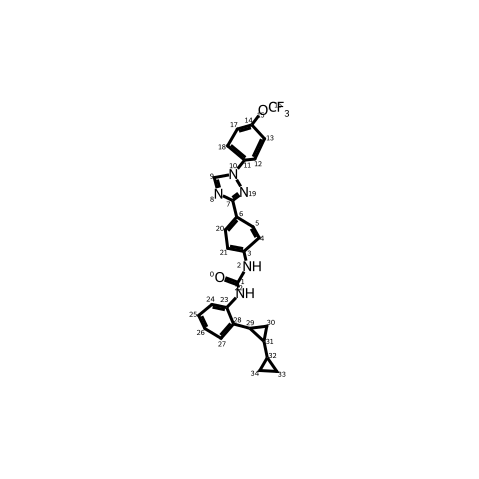 O=C(Nc1ccc(-c2ncn(-c3ccc(OC(F)(F)F)cc3)n2)cc1)Nc1ccccc1C1CC1C1CC1